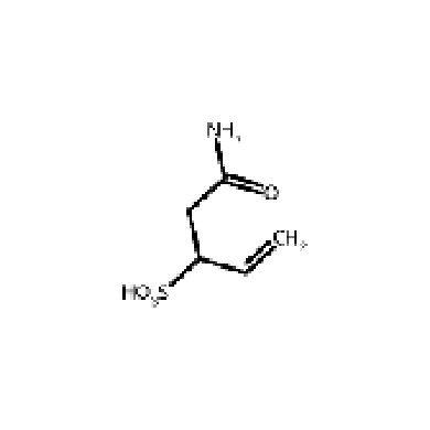 C=CC(CC(N)=O)S(=O)(=O)O